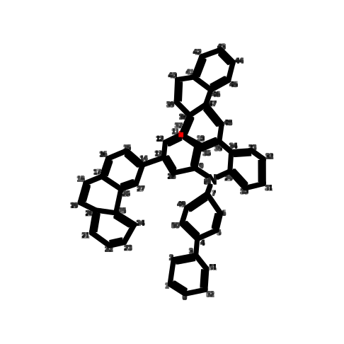 c1ccc(-c2ccc(N(c3cccc(-c4ccc5ccc6ccccc6c5c4)c3)c3ccccc3-c3ccc4ccc5ccccc5c4c3)cc2)cc1